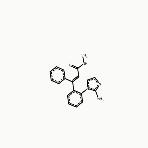 CNC(=O)/C=C(\c1ccccc1)c1ccccc1-n1ccnc1N